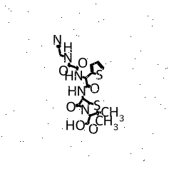 CC1(C)SC2C(NC(=O)C(NC(=O)C(=O)NCC#N)c3cccs3)C(=O)N2C1C(=O)O